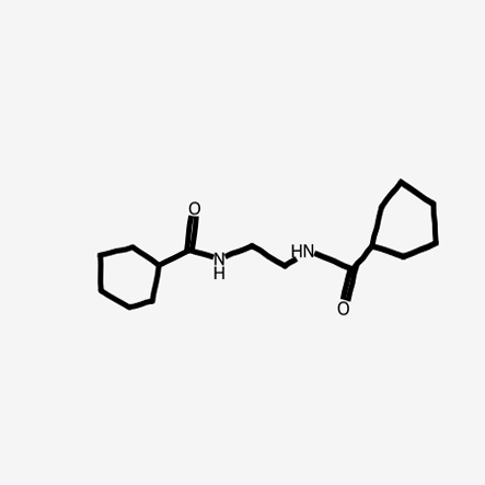 O=C(NCCNC(=O)C1CCCCC1)C1CCCCC1